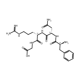 N=C(N)NCCC[C@H](NC(=O)[C@H](CC(N)=O)NC(=O)[C@@H](N)Cc1ccccc1)C(=O)NCC(=O)O